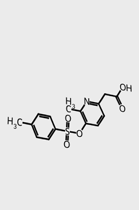 Cc1ccc(S(=O)(=O)Oc2ccc(CC(=O)O)nc2C)cc1